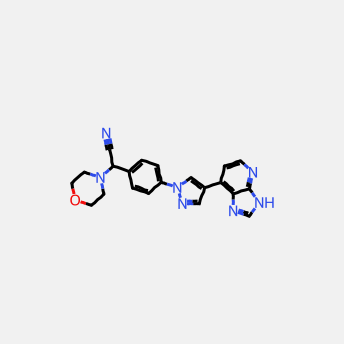 N#CC(c1ccc(-n2cc(-c3ccnc4[nH]cnc34)cn2)cc1)N1CCOCC1